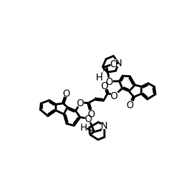 O=C(/C=C/C(=O)Oc1c(O[C@@H]2CN3CCC2CC3)ccc2c1C(=O)c1ccccc1-2)Oc1c(O[C@@H]2CN3CCC2CC3)ccc2c1C(=O)c1ccccc1-2